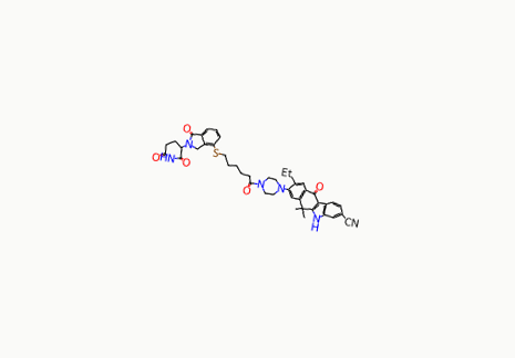 CCc1cc2c(cc1N1CCN(C(=O)CCCCCSc3cccc4c3CN(C3CCC(=O)NC3=O)C4=O)CC1)C(C)(C)c1[nH]c3cc(C#N)ccc3c1C2=O